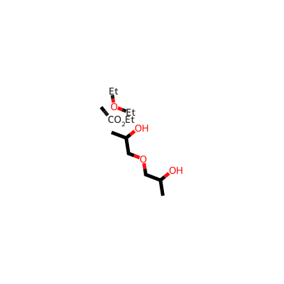 CC(O)COCC(C)O.CCOC(C)=O.CCOCC